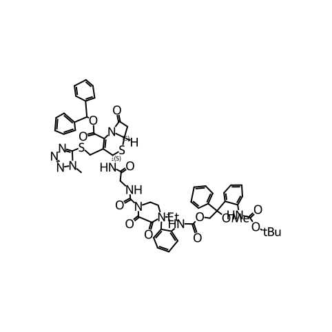 CC[N+]1(c2ccccc2NC(=O)OCC(OC)(c2ccccc2)c2ccccc2NC(=O)OC(C)(C)C)CCN(C(=O)NCC(=O)N[C@H]2S[C@H]3CC(=O)N3C(C(=O)OC(c3ccccc3)c3ccccc3)=C2CSc2nnnn2C)C(=O)C1=O